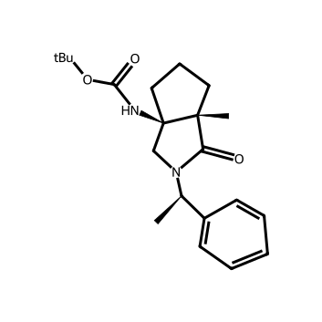 C[C@H](c1ccccc1)N1C[C@]2(NC(=O)OC(C)(C)C)CCC[C@]2(C)C1=O